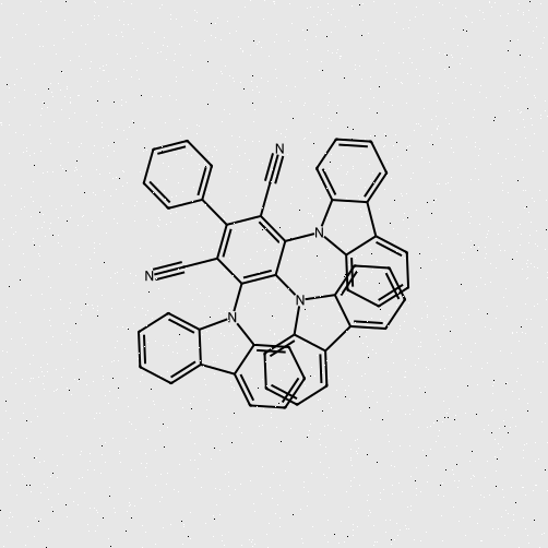 N#Cc1c(-c2ccccc2)c(C#N)c(-n2c3ccccc3c3ccccc32)c(-n2c3ccccc3c3ccccc32)c1-n1c2ccccc2c2ccccc21